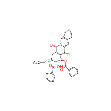 CC(=O)OCC[C@]1(OB(O)c2ccccc2)CC2=C(C(=O)c3cc4ccccc4cc3C2=O)[C@@H](OB(O)c2ccccc2)C1